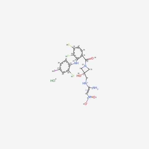 Cl.N/C(=C\[N+](=O)[O-])NCC1(O)CN(C(=O)c2ccc(F)c(F)c2Nc2ccc(I)cc2F)C1